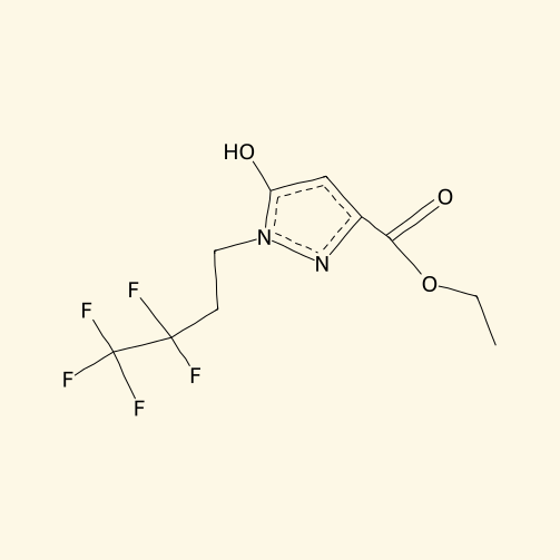 CCOC(=O)c1cc(O)n(CCC(F)(F)C(F)(F)F)n1